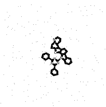 c1ccc(-c2nc(-c3ccccc3)nc(-n3c4ccccc4c4ccc5c(oc6ccc7ncccc7c65)c43)n2)cc1